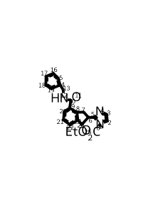 CCOC(=O)n1ccnc1C1Cc2c(C(=O)NCc3ccccc3)cccc2C1=O